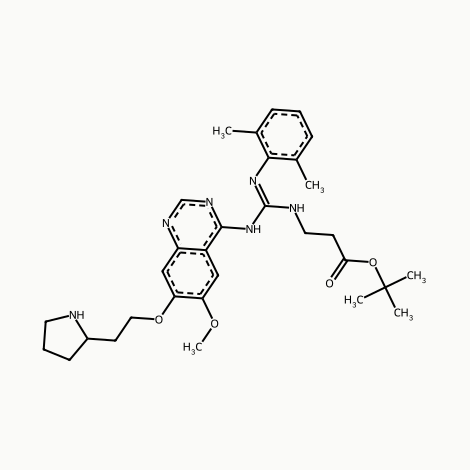 COc1cc2c(NC(=Nc3c(C)cccc3C)NCCC(=O)OC(C)(C)C)ncnc2cc1OCCC1CCCN1